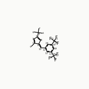 CC1=CC(C(C)(C)C)=C/C1=C\c1cc(C(F)(F)F)cc(C(F)(F)F)c1